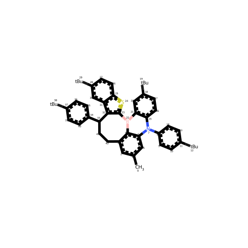 Cc1cc2c3c(c1)N(c1ccc(C(C)(C)C)cc1)c1ccc(C(C)(C)C)cc1B3c1sc3ccc(C(C)(C)C)cc3c1C(c1ccc(C(C)(C)C)cc1)CC2